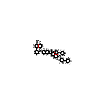 CC(C)c1ccc(-c2ccccc2N(c2ccccc2)c2ccc3cc4c(cc3c2)oc2cc3cc(N(c5cccc(-c6ccccc6)c5)c5ccccc5-c5ccccc5)ccc3cc24)cc1